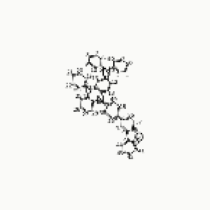 c1ccc(N(c2ccccc2)c2ccc3c(c2)N(c2ccccc2)c2ccccc2N3c2ccc(-c3ccc4oc5ccccc5c4c3)cc2)cc1